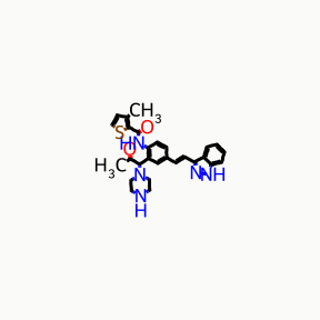 CC(=O)C(c1cc(C=Cc2n[nH]c3ccccc23)ccc1NC(=O)c1sccc1C)N1CCNCC1